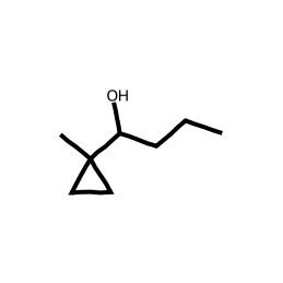 CCCC(O)C1(C)CC1